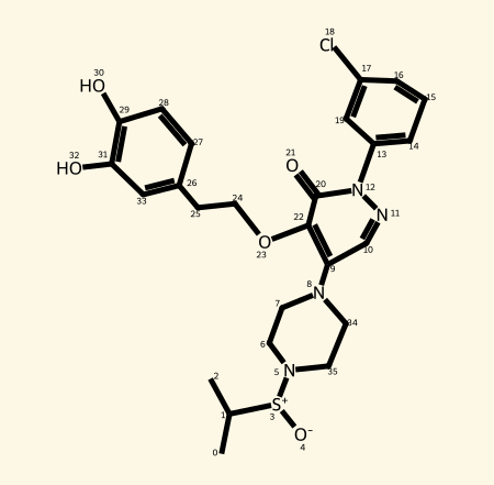 CC(C)[S+]([O-])N1CCN(c2cnn(-c3cccc(Cl)c3)c(=O)c2OCCc2ccc(O)c(O)c2)CC1